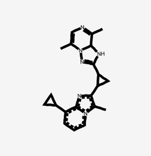 CC1=CN=C(C)C2NC(C3CC3c3nc4c(C5CC5)cccn4c3C)=NN12